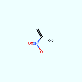 C=C[N+](=O)[O-].[K].[K]